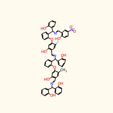 Cc1cc(/C=N/C(c2ccccc2O)c2ccccc2O)c(O)cc1Oc1ccccc1C(/N=C/c1cc(F)c(Oc2ccccc2C(/N=C/c2cc([N+](=O)[O-])ccc2O)c2ccccc2O)cc1O)c1ccccc1O